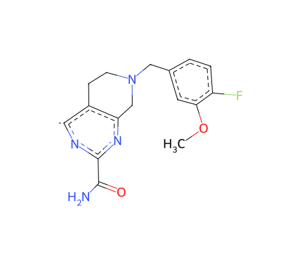 COc1cc(CN2CCc3[c]nc(C(N)=O)nc3C2)ccc1F